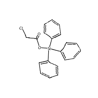 O=C(CCl)O[Si](c1ccccc1)(c1ccccc1)c1ccccc1